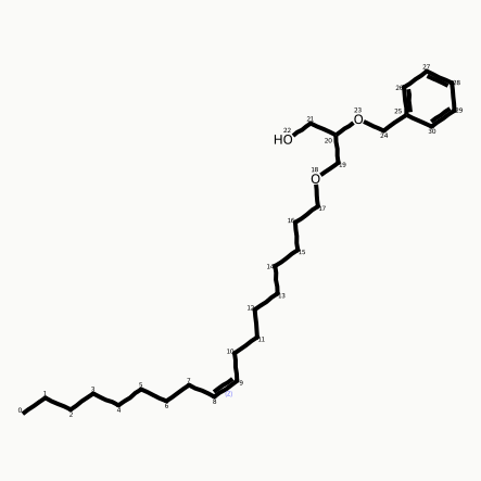 CCCCCCCC/C=C\CCCCCCCCOCC(CO)OCc1ccccc1